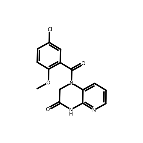 COc1ccc(Cl)cc1C(=O)N1CC(=O)Nc2ncccc21